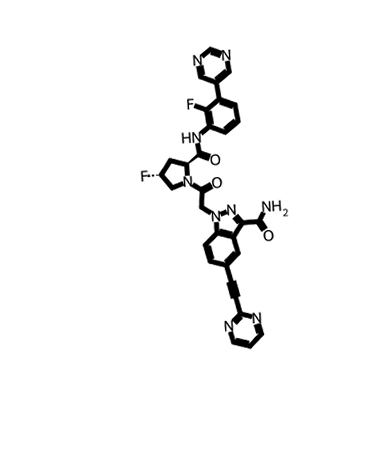 NC(=O)c1nn(CC(=O)N2C[C@H](F)C[C@H]2C(=O)Nc2cccc(-c3cncnc3)c2F)c2ccc(C#Cc3ncccn3)cc12